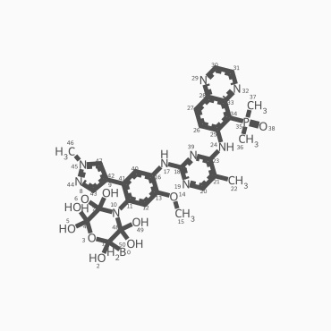 BC1(O)OC(O)(O)C(O)(O)N(c2cc(OC)c(Nc3ncc(C)c(Nc4ccc5nccnc5c4P(C)(C)=O)n3)cc2-c2cnn(C)c2)C1(O)O